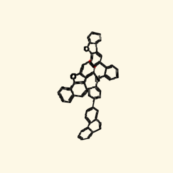 c1ccc(N(c2ccc(-c3ccc4c(ccc5ccccc54)c3)cc2)c2cccc3oc4c5ccccc5ccc4c23)c(-c2ccc3oc4ccccc4c3c2)c1